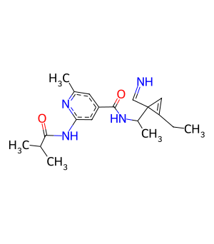 CCC1=CC1(C=N)C(C)NC(=O)c1cc(C)nc(NC(=O)C(C)C)c1